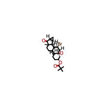 CC(C)(C)C(=O)OC1CC[C@]2(C)[C@H]3CC[C@]4(C)C(=O)[C@H]5C[C@H]5[C@H]4[C@@H]3[C@H](Br)[C@H]3O[C@]32C1